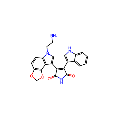 NCCn1cc(C2=C(c3c[nH]c4ccccc34)C(=O)NC2=O)c2c3c(ccc21)OCO3